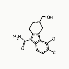 NC(=O)n1c2c(c3c(Cl)c(Cl)ccc31)C[C](CO)CC2